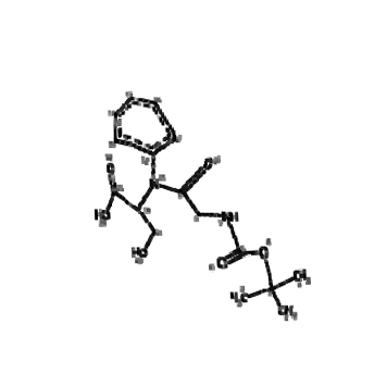 CC(C)(C)OC(=O)NCC(=O)N(c1ccccc1)C(CO)C(=O)O